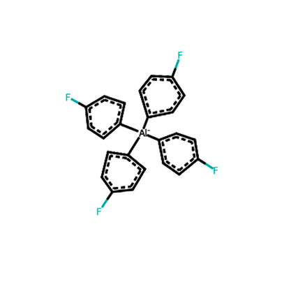 Fc1cc[c]([Al-]([c]2ccc(F)cc2)([c]2ccc(F)cc2)[c]2ccc(F)cc2)cc1